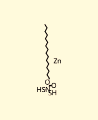 CCCCCCCCCCCCCCCCOC(=O)N(S)S.[Zn]